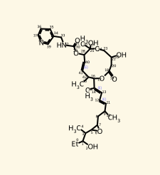 CCC(O)C(C)C1OC1CC(C)/C=C/C=C(\C)C1OC(=O)CC(O)CCC(C)(O)C(OC(=O)NCc2cccnc2)/C=C/C1C